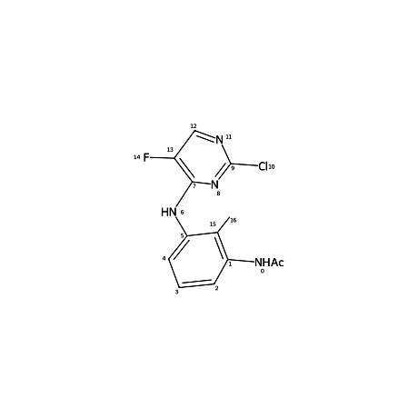 CC(=O)Nc1cccc(Nc2nc(Cl)ncc2F)c1C